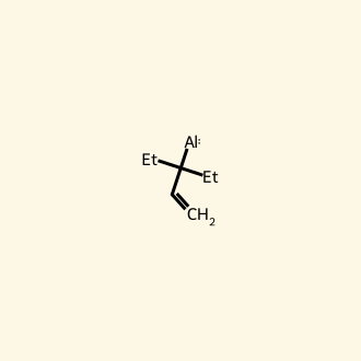 C=C[C]([Al])(CC)CC